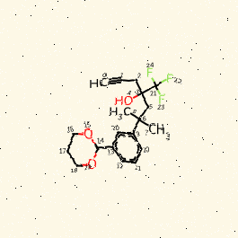 C#CCC(O)(CC(C)(C)c1cccc(C2OCCCO2)c1)C(F)(F)F